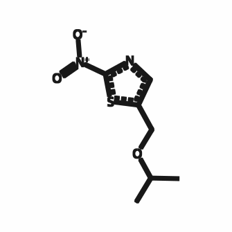 CC(C)OCc1cnc([N+](=O)[O-])s1